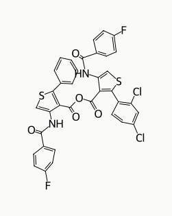 O=C(Nc1csc(-c2ccccc2)c1C(=O)OC(=O)c1c(NC(=O)c2ccc(F)cc2)csc1-c1ccc(Cl)cc1Cl)c1ccc(F)cc1